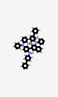 Cc1ccccc1N1c2cc(-c3ccccc3)ccc2Bc2c(-c3cc(N(c4ccccc4)c4ccccc4)ccc3Nc3ccc(-c4ccccc4)cc3)cc3ccccc3c21